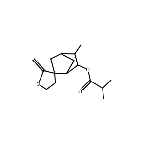 C=C1OCCC12CC1CC2C(OC(=O)C(C)C)C1C